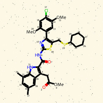 COC(=O)Cc1c(C(=O)Nc2nc(-c3cc(OC)c(Cl)cc3OC)c(CSC3CCCCC3)s2)[nH]c2c(C)cc(C)cc12